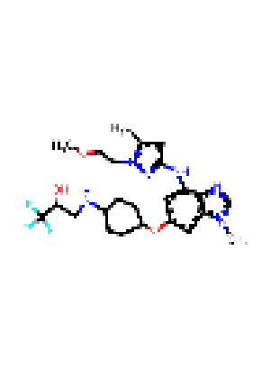 COCCn1nc(Nc2cc(OC3CCC(NC[C@@H](O)C(F)(F)F)CC3)cc3c2ncn3C)cc1C